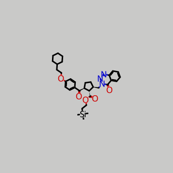 C[Si](C)(C)CCOC(=O)[C@H]1[C@H](Cn2nnc3ccccc3c2=O)CC[C@@H]1C(=O)c1ccc(OCCC2CCCCC2)cc1